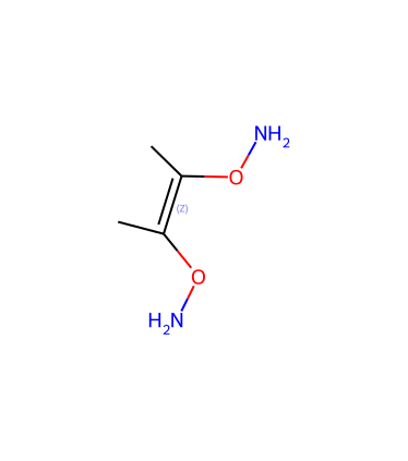 C/C(ON)=C(\C)ON